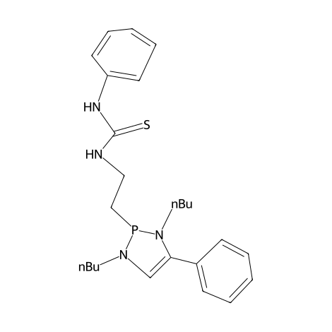 CCCCN1C=C(c2ccccc2)N(CCCC)P1CCNC(=S)Nc1ccccc1